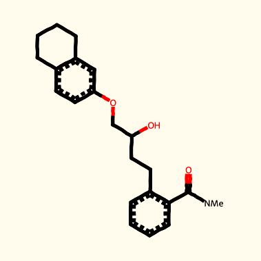 CNC(=O)c1ccccc1CCC(O)COc1ccc2c(c1)CCCC2